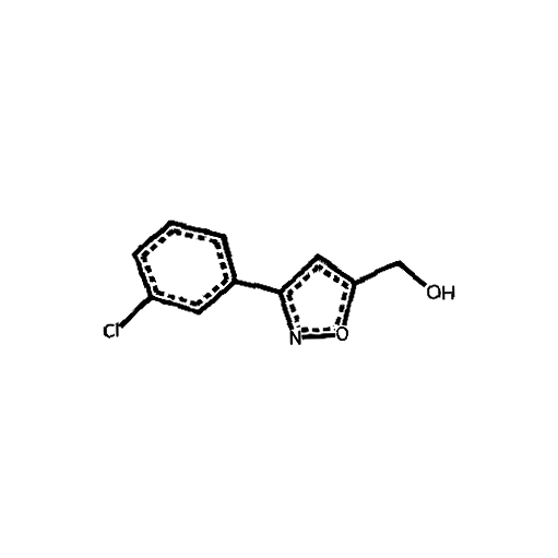 OCc1cc(-c2cccc(Cl)c2)no1